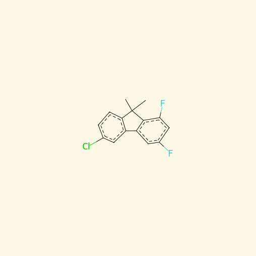 CC1(C)c2ccc(Cl)cc2-c2cc(F)cc(F)c21